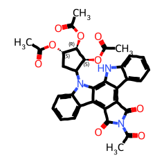 CC(=O)O[C@@H]1[C@@H](OC(C)=O)CC(n2c3ccccc3c3c4c(c5c6ccccc6[nH]c5c32)C(=O)N(C(C)=O)C4=O)[C@@H]1OC(C)=O